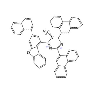 C=N/C(=N\C(=N/Cc1cc2ccccc2c2c1CCC=C2)c1cc2ccccc2c2ccccc12)c1cc(-c2cccc3ccccc23)cc2oc3ccccc3c12